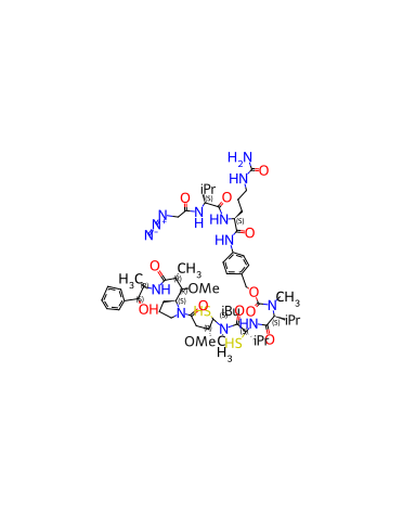 CC[C@H](C)C(S)([C@@H](CC(=O)N1CCC[C@H]1[C@H](OC)[C@@H](C)C(=O)N[C@H](C)[C@@H](O)c1ccccc1)OC)N(C)C(=O)[C@](S)(NC(=O)[C@H](C(C)C)N(C)C(=O)OCc1ccc(NC(=O)[C@H](CCCNC(N)=O)NC(=O)[C@@H](NC(=O)CN=[N+]=[N-])C(C)C)cc1)C(C)C